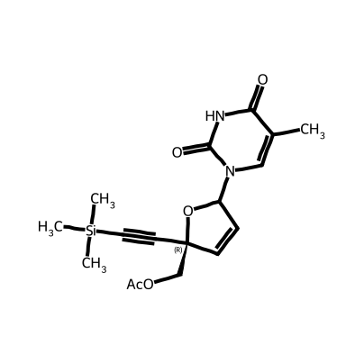 CC(=O)OC[C@]1(C#C[Si](C)(C)C)C=CC(n2cc(C)c(=O)[nH]c2=O)O1